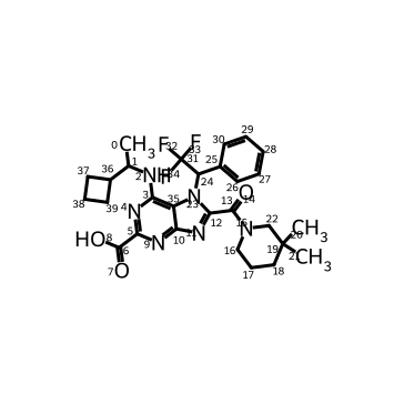 CC(Nc1nc(C(=O)O)nc2nc(C(=O)N3CCCC(C)(C)C3)n(C(c3ccccc3)C(F)(F)F)c12)C1CCC1